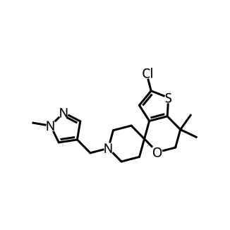 Cn1cc(CN2CCC3(CC2)OCC(C)(C)c2sc(Cl)cc23)cn1